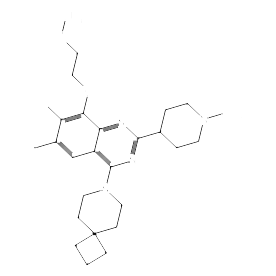 COCCOc1c(Br)c(I)cc2c(N3CCC4(CCC4)CC3)nc(C3CCN(C)CC3)nc12